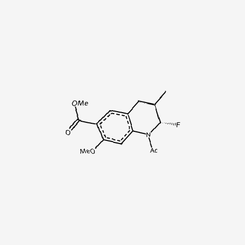 COC(=O)c1cc2c(cc1OC)N(C(C)=O)[C@@H](F)C(C)C2